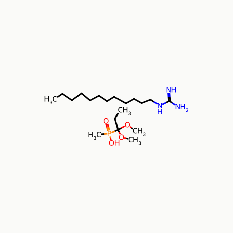 CCC(OC)(OC)P(C)(=O)O.CCCCCCCCCCCCNC(=N)N